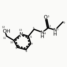 CNC(=O)NCc1cccc(CO)n1